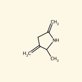 C=C1CC(=C)C(C)N1